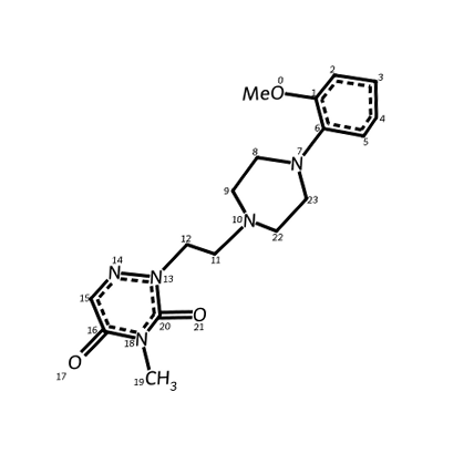 COc1ccccc1N1CCN(CCn2ncc(=O)n(C)c2=O)CC1